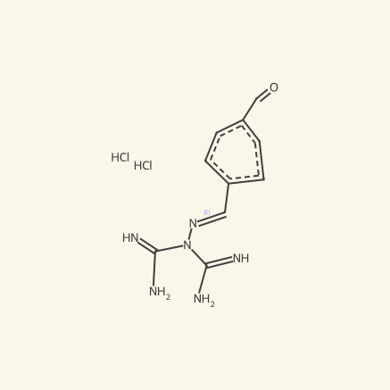 Cl.Cl.N=C(N)N(/N=C/c1ccc(C=O)cc1)C(=N)N